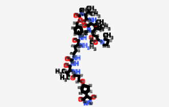 CC[C@H](C)[C@@H](C(CC(=O)N1CCC[C@H]1C)OC)N(C)C(=O)[C@@H](NC(=O)[C@H](C(C)C)N(C)C(=O)OCc1ccc(NC(=O)C(N)CCCNC(=O)NC(=O)[C@@H](NC(=O)CCOc2ccc(C3C(=O)N=NC3=O)cc2)C(C)C)cc1)C(C)C